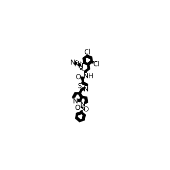 [N-]=[N+]=NC[C@H](Cc1ccc(Cl)cc1Cl)NC(=O)c1cnc(-c2ccnc3c2ccn3S(=O)(=O)c2ccccc2)s1